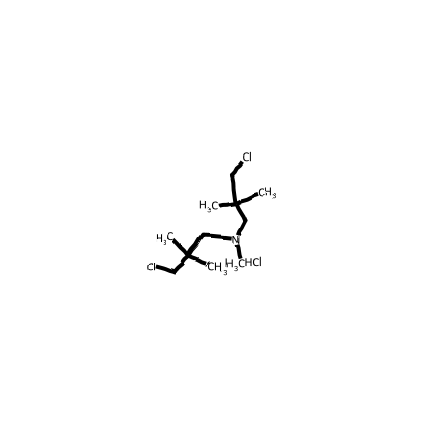 CN(CC(C)(C)CCl)CC(C)(C)CCl.Cl